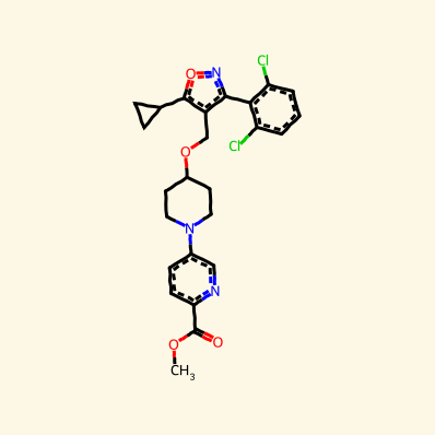 COC(=O)c1ccc(N2CCC(OCc3c(-c4c(Cl)cccc4Cl)noc3C3CC3)CC2)cn1